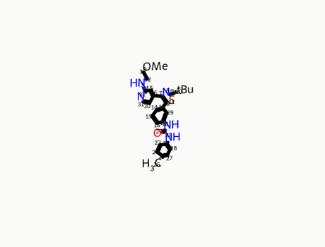 COCCNc1cc(-c2nc(C(C)(C)C)sc2-c2cccc(NC(=O)Nc3ccc(C)cc3)c2)ccn1